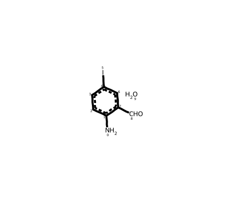 Nc1ccc(I)cc1C=O.O